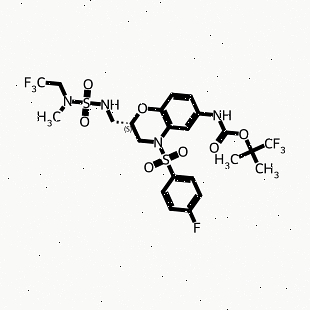 CN(CC(F)(F)F)S(=O)(=O)NC[C@H]1CN(S(=O)(=O)c2ccc(F)cc2)c2cc(NC(=O)OC(C)(C)C(F)(F)F)ccc2O1